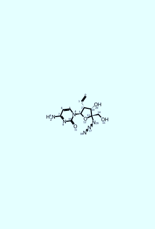 C=C[C@H]1[C@H](n2ccc(N)nc2=O)O[C@@](CO)(N=[N+]=[N-])[C@H]1O